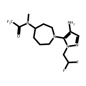 CN(C(=O)C(F)(F)F)C1CCCN(c2c(N)cnn2CC(F)F)CC1